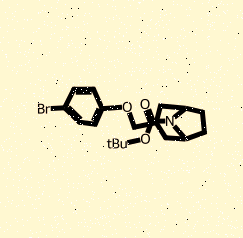 CC(C)(C)OC(=O)N1C2CCC1CC(COc1ccc(Br)cc1)C2